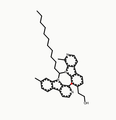 CCCCCCCCCCCC(n1c2cc(C)ccc2c2ccnc(C)c21)n1c2cc(CCO)ccc2c2ccnc(C)c21